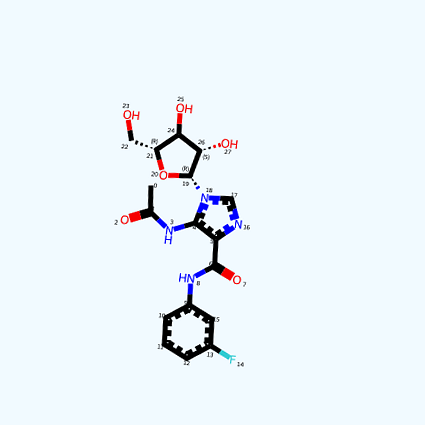 CC(=O)Nc1c(C(=O)Nc2cccc(F)c2)ncn1[C@@H]1O[C@H](CO)C(O)[C@@H]1O